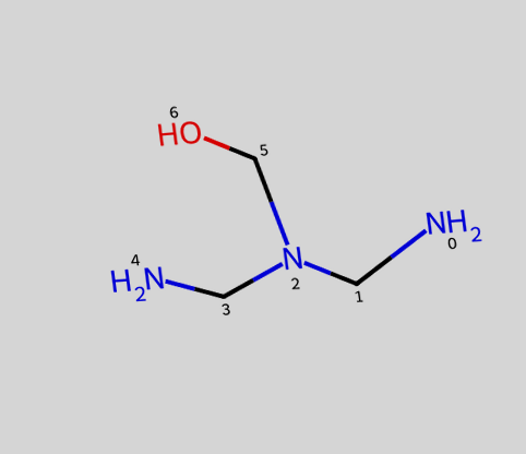 NCN(CN)CO